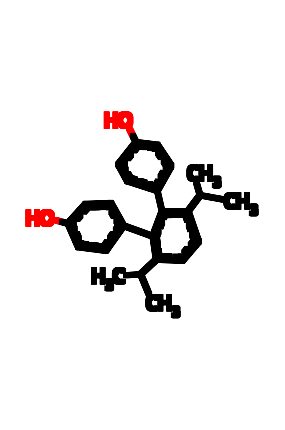 CC(C)c1ccc(C(C)C)c(-c2ccc(O)cc2)c1-c1ccc(O)cc1